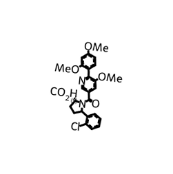 COc1ccc(-c2ncc(C(=O)N3C(c4ccccc4Cl)CC[C@H]3C(=O)O)cc2OC)c(OC)c1